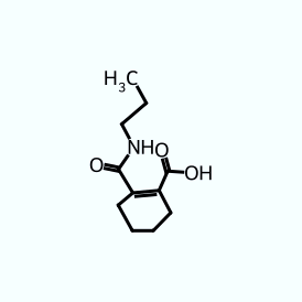 CCCNC(=O)C1=C(C(=O)O)CCCC1